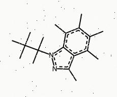 Cc1c(C)c(C)c2c(c(C)nn2C(C)(C)C(C)(C)C)c1C